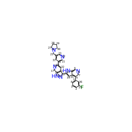 Fc1cccc(-c2cncc3[nH]c(-c4n[nH]c5cnc(-c6cncc(CN7CCCC7)c6)cc45)cc23)c1